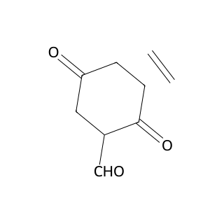 C=C.O=CC1CC(=O)CCC1=O